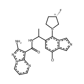 CC(NC(=O)c1c(N)nn2cccnc12)c1cc(Cl)c2cncn2c1N1CC[C@H](F)C1